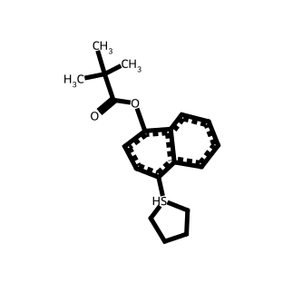 CC(C)(C)C(=O)Oc1ccc([SH]2CCCC2)c2ccccc12